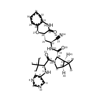 CC(C)(C)[C@H](Nc1cncnc1)C(=O)N1C[C@H]2[C@@H]([C@H]1C(=O)N[C@H](C#N)C[C@@H]1Oc3ccccc3NC1=O)C2(C)C